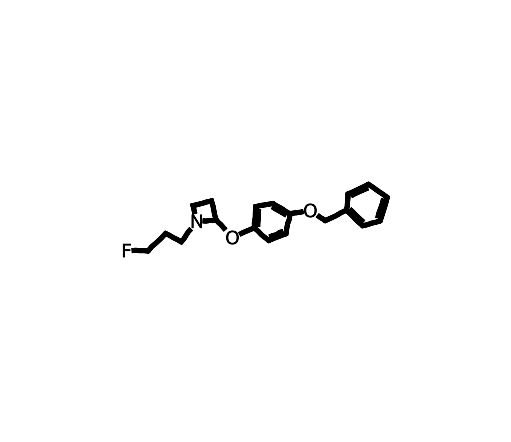 FCCCN1CCC1Oc1ccc(OCc2ccccc2)cc1